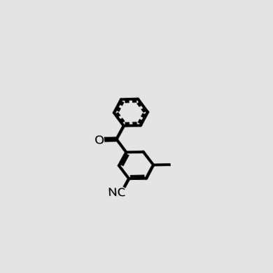 CC1C=C(C#N)C=C(C(=O)c2ccccc2)C1